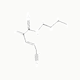 C=C(C=CC#N)C(=O)OCCCC